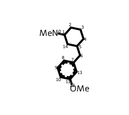 CNC1CCCC(Cc2cccc(OC)c2)C1